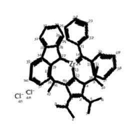 CC(C)C1=C(C(C)C)C(C(C)C)[C]([Zr+2](=[C](c2ccccc2)c2ccccc2)[CH]2c3ccccc3-c3ccccc32)=C1C(C)C.[Cl-].[Cl-]